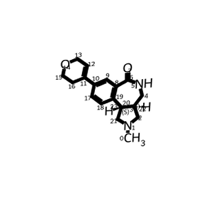 CN1C[C@@H]2CNC(=O)c3cc(C4=CCOCC4)ccc3[C@H]2C1